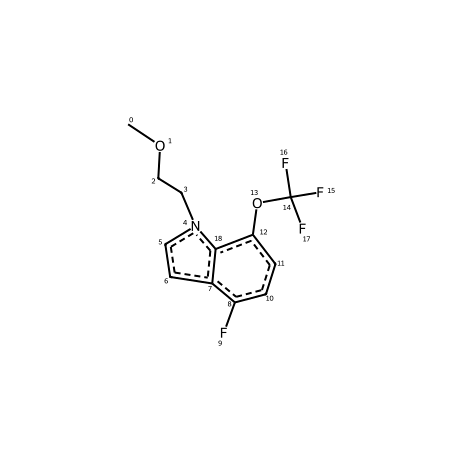 COCCn1ccc2c(F)ccc(OC(F)(F)F)c21